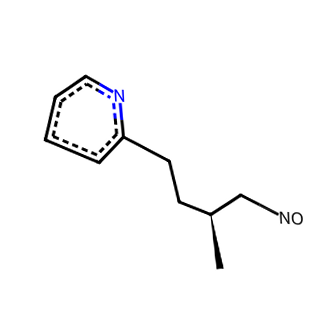 C[C@@H](CCc1ccccn1)CN=O